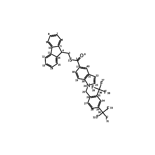 O=C(SCC1c2ccccc2-c2ccccc21)c1ccc2c(ccn2Cc2ccc(C(F)(F)F)cc2C(F)(F)F)c1